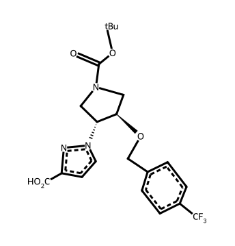 CC(C)(C)OC(=O)N1C[C@@H](n2ccc(C(=O)O)n2)[C@H](OCc2ccc(C(F)(F)F)cc2)C1